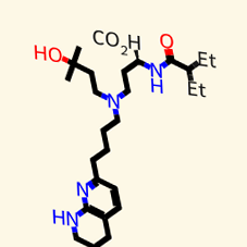 CCC(CC)C(=O)N[C@@H](CCN(CCCCc1ccc2c(n1)NCCC2)CCC(C)(C)O)C(=O)O